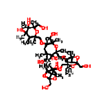 CC1C(C)(O)[C@](C)(O)C(C)(CO)O[C@]1(C)COC1(C)CC(C)(CO)C(C)(O)[C@@](C)(COC[C@]2(C)C3(CO)OC2(C)C(C)[C@@](C)(COC[C@]2(C)C4(CO)OCC(C)(O)C2(C)O4)O3)OC1(C)CO